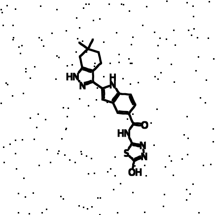 CC1(C)CCc2c(-c3cc4cc(C(=O)Nc5nnc(O)s5)ccc4[nH]3)n[nH]c2C1